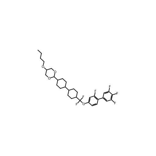 CCCCOC1COC(C2CCC(C3CCC(C(F)(F)Oc4ccc(-c5cc(F)c(F)c(F)c5)c(F)c4)CC3)CC2)OC1